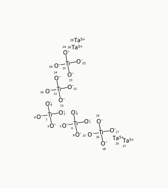 [O-][Ti]([O-])([O-])[O-].[O-][Ti]([O-])([O-])[O-].[O-][Ti]([O-])([O-])[O-].[O-][Ti]([O-])([O-])[O-].[O-][Ti]([O-])([O-])[O-].[Ta+5].[Ta+5].[Ta+5].[Ta+5]